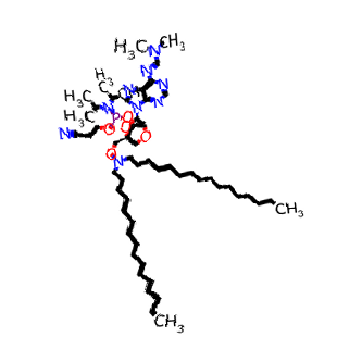 CCCCCCCCCCCCCCCCN(CCCCCCCCCCCCCCCC)OC[C@]12COC(C1OP(OCCC#N)N(C(C)C)C(C)C)[C@H](n1cnc3c(N=CN(C)C)ncnc31)O2